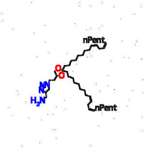 CCCCC/C=C\C/C=C\CCCCCCCCC1(CCCCCCCC/C=C\C/C=C\CCCCC)OCC(CCN2CC(CN)N=N2)O1